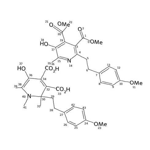 COC(=O)c1c(CCc2ccc(OC)cc2)nc(C)c(O)c1C(=O)OC.COc1ccc(CCC2(C)C(C(=O)O)=C(C(=O)O)C(O)=C(C)N2C)cc1